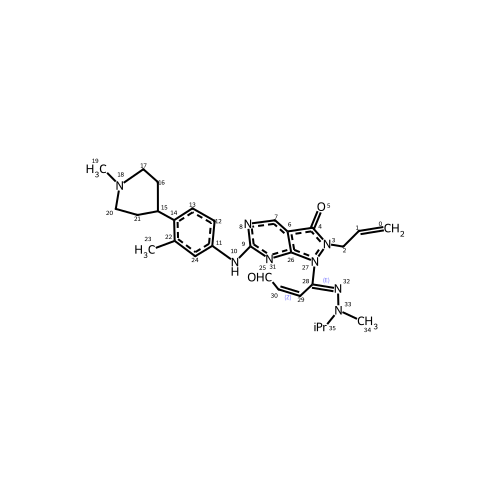 C=CCn1c(=O)c2cnc(Nc3ccc(C4CCN(C)CC4)c(C)c3)nc2n1C(/C=C\C=O)=N/N(C)C(C)C